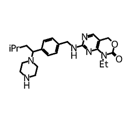 CCN1C(=O)OCc2cnc(NCc3ccc(C(CC(C)C)N4CCNCC4)cc3)nc21